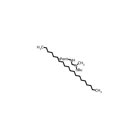 CCCCCCCCCCCCCCCCCCCC.CCCCCNCN(C)CCCC